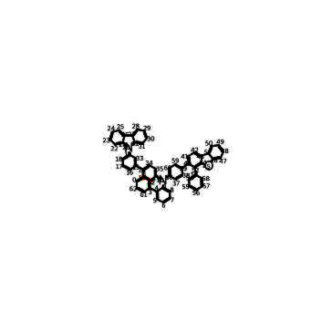 c1ccc(-c2ccccc2N(c2ccc(-c3cccc(-n4c5ccccc5c5ccccc54)c3)cc2)c2ccc(-c3ccc4c(oc5ccccc54)c3-c3ccccc3)cc2)cc1